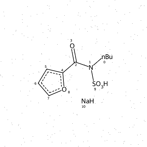 CCCCN(C(=O)c1ccco1)S(=O)(=O)O.[NaH]